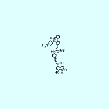 Cl.Cl.N[C@H]1CC[C@H](N(C(=O)O)c2cc(CCC(=O)Nc3ccc(CNC[C@H](O)c4ccc(O)c5[nH]c(=O)ccc45)cc3)ccc2-c2ccccc2)CC1